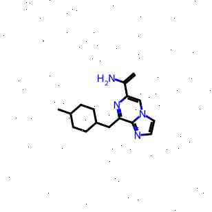 C=C(N)c1cn2ccnc2c(CC2CCC(C)CC2)n1